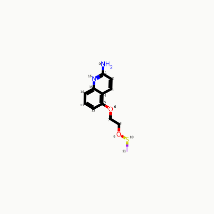 Nc1ccc2c(OCCOSI)cccc2n1